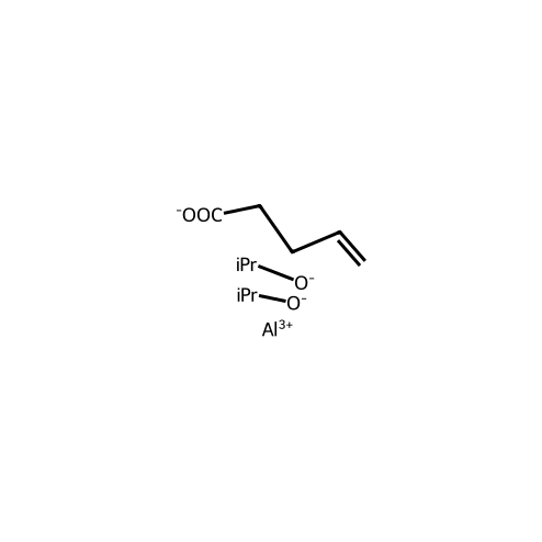 C=CCCC(=O)[O-].CC(C)[O-].CC(C)[O-].[Al+3]